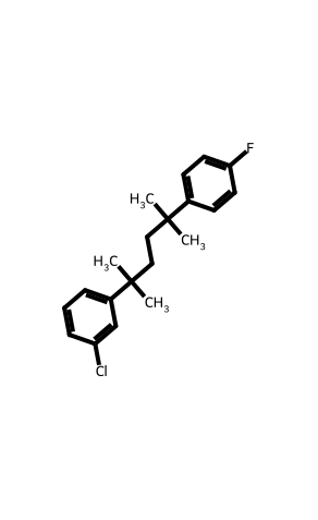 CC(C)(CCC(C)(C)c1cccc(Cl)c1)c1ccc(F)cc1